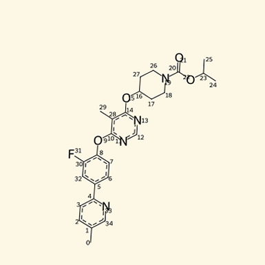 Cc1ccc(-c2ccc(Oc3ncnc(OC4CCN(C(=O)OC(C)C)CC4)c3C)c(F)c2)nc1